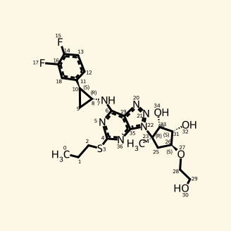 CCCSc1nc(N[C@@H]2C[C@H]2c2ccc(F)c(F)c2)c2nnn([C@]3(C)C[C@H](OCCO)[C@@H](O)[C@H]3O)c2n1